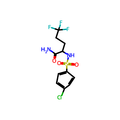 NC(=O)C(CCC(F)(F)F)NS(=O)(=O)c1ccc(Cl)cc1